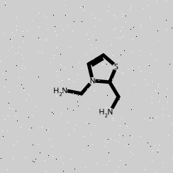 NCC1SC=CN1CN